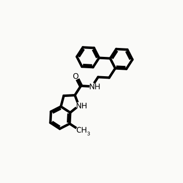 Cc1cccc2c1NC(C(=O)NCCc1ccccc1-c1ccccc1)C2